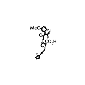 COc1ccc2ncc(F)c(C(=O)CC[C@H]3CCN(CC#Cc4cccs4)C[C@H]3C(=O)O)c2c1